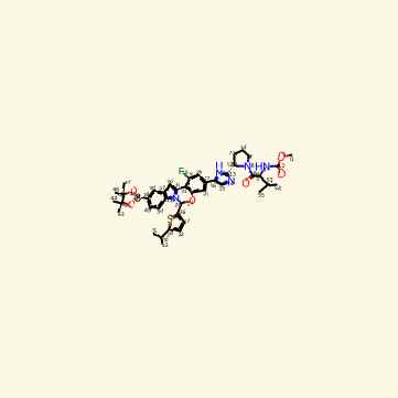 COC(=O)N[C@H](C(=O)N1CCC[C@H]1c1ncc(-c2cc(F)c3c(c2)OC(c2ccc(C(C)C)s2)n2c-3cc3cc(B4OC(C)(C)C(C)(C)O4)ccc32)[nH]1)C(C)C